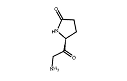 NCC(=O)[C@@H]1CCC(=O)N1